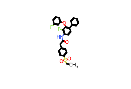 CCS(=O)(=O)c1ccc(CC(=O)Nc2ccc(-c3ccccc3)c(Oc3cccc(F)c3)c2F)cc1